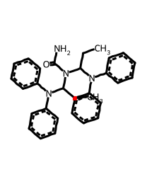 CCC(N(c1ccccc1)c1ccccc1)N(C(N)=O)C(CC)N(c1ccccc1)c1ccccc1